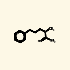 CN(CCCc1ccccc1)C(=N)N